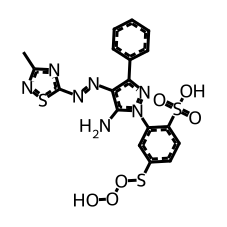 Cc1nsc(N=Nc2c(-c3ccccc3)nn(-c3cc(SOOO)ccc3S(=O)(=O)O)c2N)n1